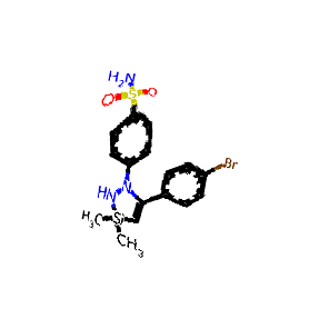 C[Si]1(C)C=C(c2ccc(Br)cc2)N(c2ccc(S(N)(=O)=O)cc2)N1